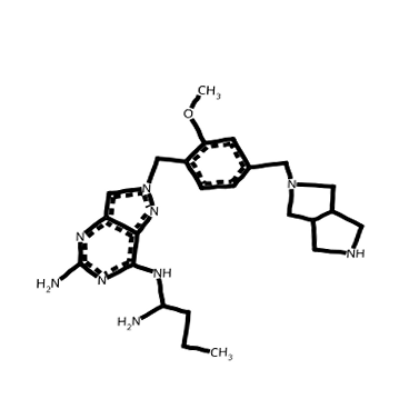 CCCC(N)Nc1nc(N)nc2cn(Cc3ccc(CN4CC5CNCC5C4)cc3OC)nc12